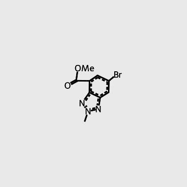 COC(=O)c1cc(Br)cc2nn(C)nc12